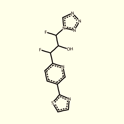 OC(C(F)c1ccc(-c2nccs2)cn1)C(F)n1cnnn1